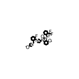 COc1cccc2c1n(Cc1ccccc1C(F)(F)F)c(=O)n2C1CCN(c2c(F)cccc2CN2CC(OC)C2)C1